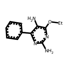 CCOc1nc(N)nc(-c2[c]cccc2)c1N